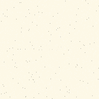 CCCC(=O)OOC(=O)C1CCCCC1